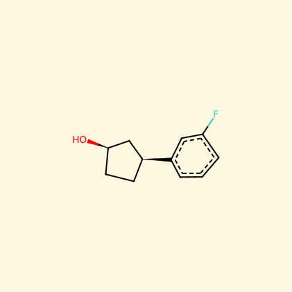 O[C@@H]1CC[C@H](c2cccc(F)c2)C1